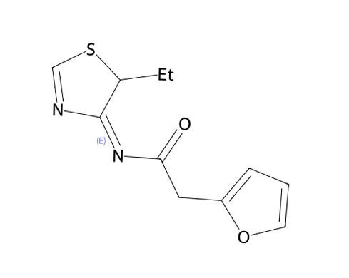 CCC1SC=N/C1=N/C(=O)Cc1ccco1